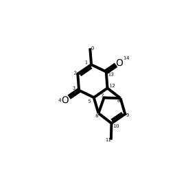 CC1=CC(=O)C2C3CC(C=C3C)C2C1=O